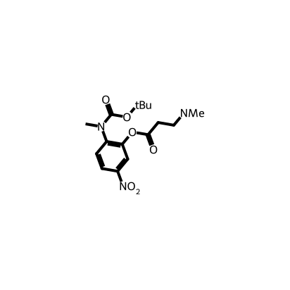 CNCCC(=O)Oc1cc([N+](=O)[O-])ccc1N(C)C(=O)OC(C)(C)C